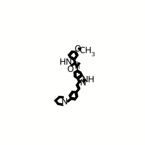 COc1ccc2c(c1)[C@]1(C[C@H]1c1ccc3c(C=Cc4ccc(CN5CCCCC5)cc4)n[nH]c3c1)C(=O)N2